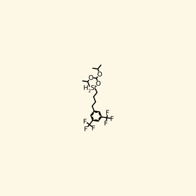 CC(C)OC(O[SiH2]CCCCc1cc(C(F)(F)F)cc(C(F)(F)F)c1)OC(C)C